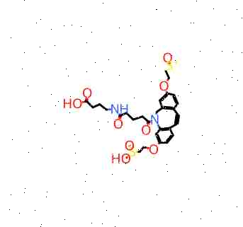 O=[S+]CCOc1ccc2c(c1)CN(C(=O)CCCC(=O)NCCCC(=O)O)c1cc(OCCS(=O)O)ccc1C#C2